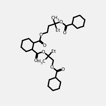 CCC(C)(CCOC(=O)C1CCCCC1C(=O)OC(C)(CC)COC(=O)C1CCCCC1)OC(=O)C1CCCCC1